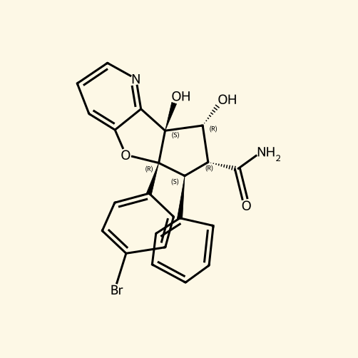 NC(=O)[C@H]1[C@@H](O)[C@@]2(O)c3ncccc3O[C@@]2(c2ccc(Br)cc2)[C@@H]1c1ccccc1